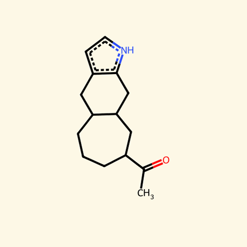 CC(=O)C1CCCC2Cc3cc[nH]c3CC2C1